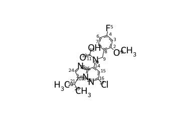 COc1cc(F)ccc1CN(C(=O)O)c1cc(Cl)nn2c(C(C)C)cnc12